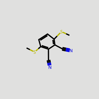 CSc1ccc(SC)c(C#N)c1C#N